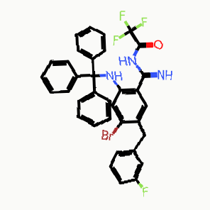 N=C(NC(=O)C(F)(F)F)c1cc(Cc2cccc(F)c2)c(Br)cc1NC(c1ccccc1)(c1ccccc1)c1ccccc1